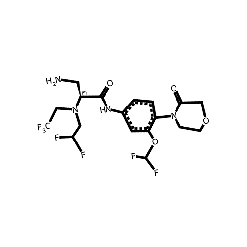 NC[C@@H](C(=O)Nc1ccc(N2CCOCC2=O)c(OC(F)F)c1)N(CC(F)F)CC(F)(F)F